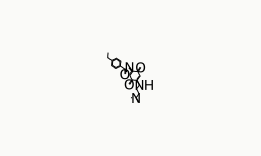 CCc1ccc(-c2nc3c(o2)C(=O)C(NCCN(C)C)=CC3=O)cc1